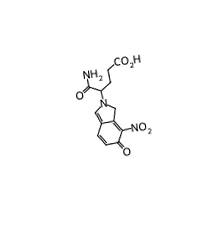 NC(=O)C(CCC(=O)O)N1C=C2C=CC(=O)C([N+](=O)[O-])=C2C1